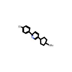 CCCCC1CCC(c2ccc(-c3ccc(CC)cc3)nc2)CC1